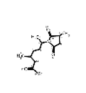 CC(CCC(C)N1C(=O)CC(C)C1=O)CC(=O)C(C)C